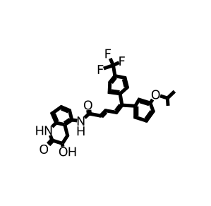 CC(C)Oc1cccc(/C(=C/C=C/C(=O)Nc2cccc3c2CC(O)C(=O)N3)c2ccc(C(F)(F)F)cc2)c1